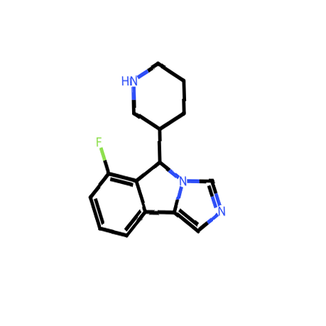 Fc1cccc2c1C(C1CCCNC1)n1cncc1-2